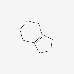 [C]1CCC2=C1CCCC2